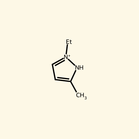 CC[n+]1ccc(C)[nH]1